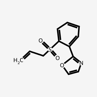 C=CCS(=O)(=O)c1ccccc1-c1ncco1